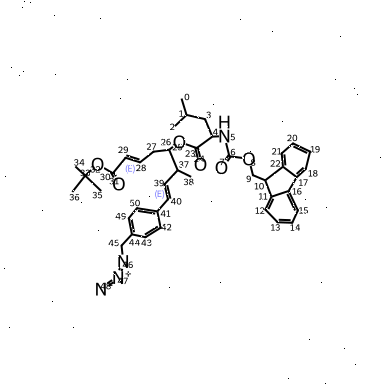 CC(C)CC(NC(=O)OCC1c2ccccc2-c2ccccc21)C(=O)OC(C/C=C/C(=O)OC(C)(C)C)C(C)/C=C/c1ccc(CN=[N+]=[N-])cc1